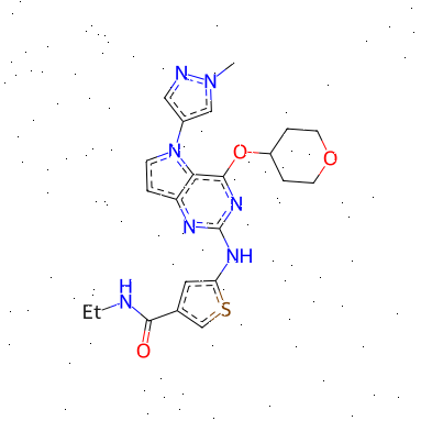 CCNC(=O)c1csc(Nc2nc(OC3CCOCC3)c3c(ccn3-c3cnn(C)c3)n2)c1